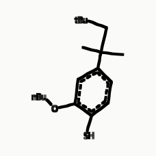 CCCCOc1cc(C(C)(C)CC(C)(C)C)ccc1S